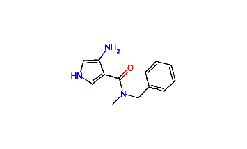 CN(Cc1ccccc1)C(=O)c1c[nH]cc1N